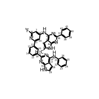 Cc1cc2c(Nc3cc(F)nc(-c4cccc(-c5nc(Nc6ccccc6)c6cc[nH]c6n5)c4)c3)nc(-c3ccccc3)nc2[nH]1